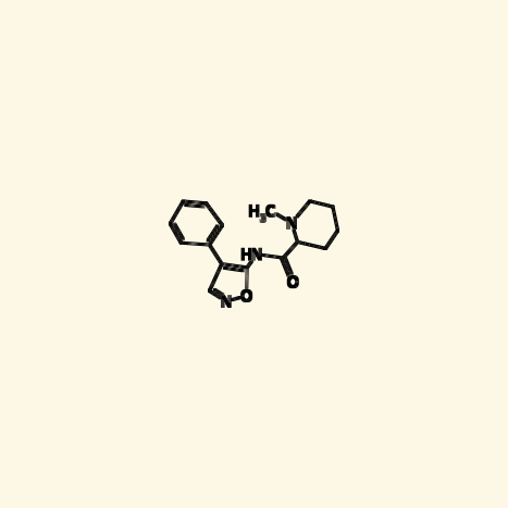 CN1CCCCC1C(=O)Nc1oncc1-c1ccccc1